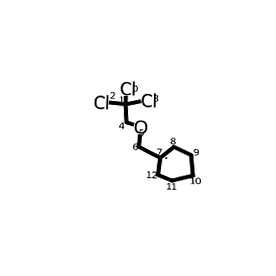 ClC(Cl)(Cl)COC[C]1CCCCC1